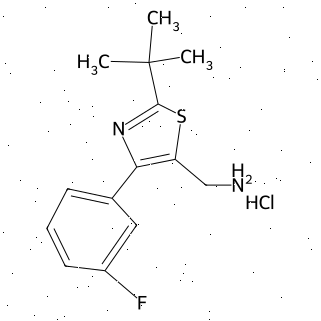 CC(C)(C)c1nc(-c2cccc(F)c2)c(CN)s1.Cl